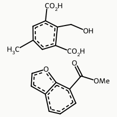 COC(=O)c1cccc2ccoc12.Cc1cc(C(=O)O)c(CO)c(C(=O)O)c1